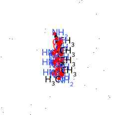 COc1ccc(NC(=O)[C@@H](CCCNC(=N)N)NC(=O)c2cc(NC(=O)[C@@H](CCCNC(=N)N)NC(=O)c3cc(NC(=O)[C@@H](CCCNC(=N)N)NC(=O)c4cc(NC(=O)[C@@H](C)N)ccc4OC)ccc3OC)ccc2OC)cc1C(=O)NCCCCCN